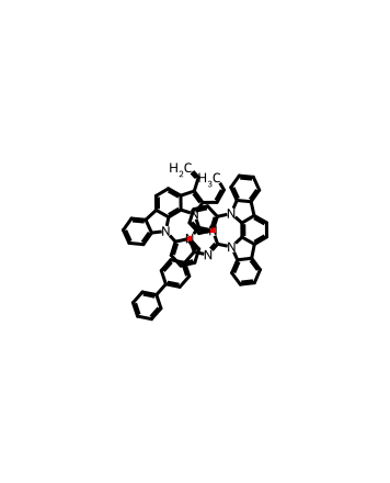 C=Cc1c(/C=C\C)n(-c2nc(-c3ccc(-c4ccccc4)cc3)nc(-n3c4ccccc4c4ccc5c6ccccc6n(-c6ccccc6)c5c43)n2)c2c1ccc1c3ccccc3n(-c3ccccc3)c12